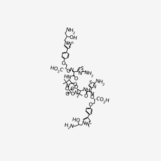 C[n+]1cc(-c2ccc(OC[C@H](O/N=C(\C(=O)N[C@@H]3C(=O)N(OS(=O)(=O)ON4C(=O)[C@@H](NC(=O)/C(=N\O[C@@H](COc5ccc(-c6cn(CC(O)CN)[n+](C)c6)cc5)C(=O)O)c5csc(N)n5)C4(C)C)C3(C)C)c3csc(N)n3)C(=O)O)cc2)cn1CC(O)CN